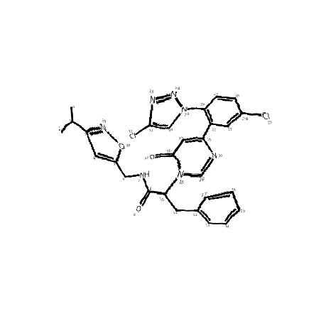 CC(C)c1cc(CNC(=O)C(Cc2ccccc2)n2cnc(-c3cc(Cl)ccc3-n3cc(Cl)nn3)cc2=O)on1